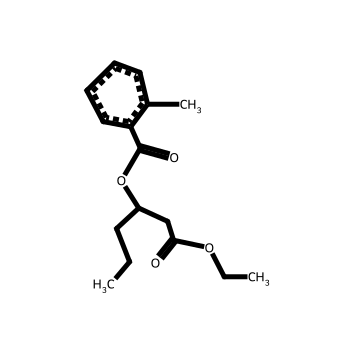 CCCC(CC(=O)OCC)OC(=O)c1ccccc1C